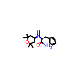 CC1(C)CC(N[C@@H](Cc2ccccc2)C(N)=O)CC(C)(C)O1